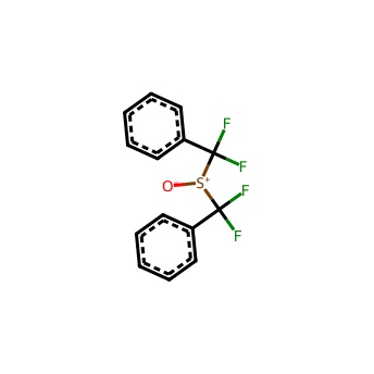 [O-][S+](C(F)(F)c1ccccc1)C(F)(F)c1ccccc1